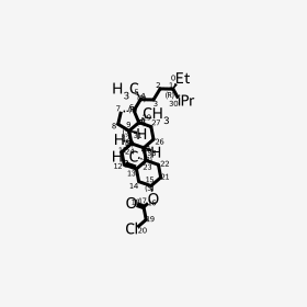 CC[C@H](CC[C@@H](C)[C@H]1CC[C@H]2[C@@H]3CC=C4C[C@@H](OC(=O)CCl)CC[C@]4(C)[C@H]3CC[C@]12C)C(C)C